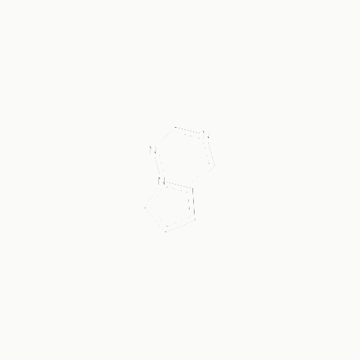 c1cc2cncnn2c1